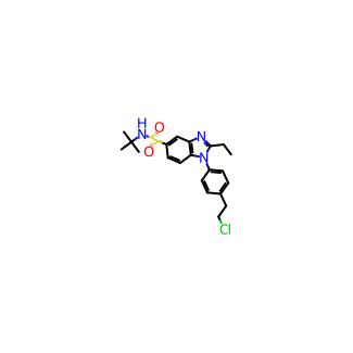 CCc1nc2cc(S(=O)(=O)NC(C)(C)C)ccc2n1-c1ccc(CCCl)cc1